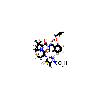 C#CCOC[C@@H](NC(=O)[C@H]1N2C(=O)[C@@H](NC(=S)C(C)N(C)C(=O)O)CCS[C@H]2CC1(C)C)c1ccccc1